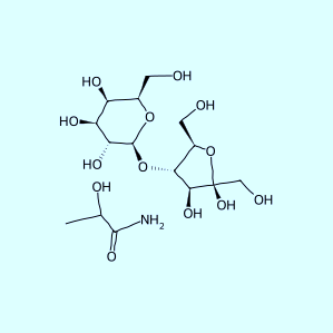 CC(O)C(N)=O.OC[C@H]1O[C@@H](O[C@@H]2[C@@H](CO)O[C@](O)(CO)[C@H]2O)[C@H](O)[C@@H](O)[C@H]1O